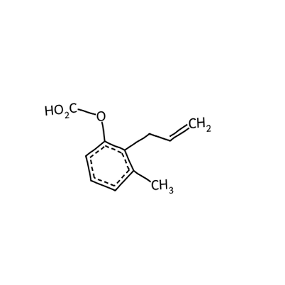 C=CCc1c(C)cccc1OC(=O)O